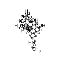 CCCNCc1ccc(OC)c(-c2ccc(O)c3c2C[C@H]2C[C@@H]4C(N(C)C)C(O)=C(C(N)=O)C(=O)[C@@]4(O)C(O)=C2C3=O)c1